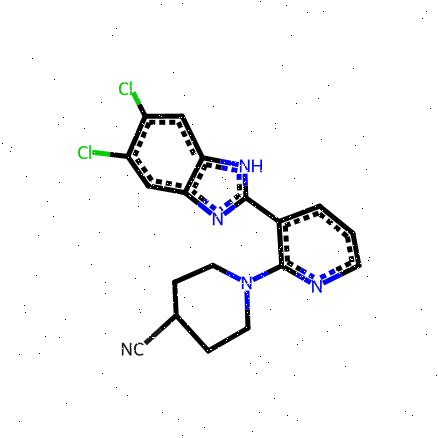 N#CC1CCN(c2ncccc2-c2nc3cc(Cl)c(Cl)cc3[nH]2)CC1